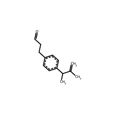 C=C(C)C(C)c1ccc(CCC=O)cc1